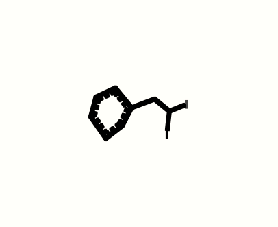 IC(I)Cc1ccccc1